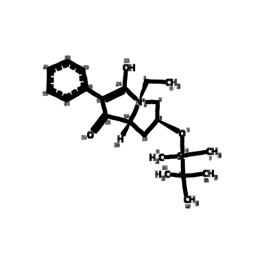 CC[N@@+]12C[C@@H](O[Si](C)(C)C(C)(C)C)C[C@@H]1C(=O)C(c1ccccc1)=C2O